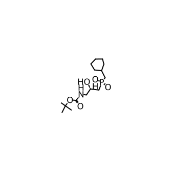 CC(C)(C)OC(=O)NC[C@@H](O)CP(=O)(O)CC1CCCCC1